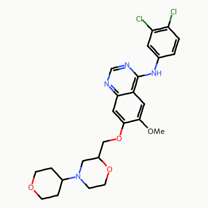 COc1cc2c(Nc3ccc(Cl)c(Cl)c3)ncnc2cc1OCC1CN(C2CCOCC2)CCO1